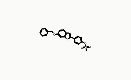 CS(=O)(=O)Oc1ccc(-c2cc3ccc(OCc4ccccc4)cc3s2)cc1